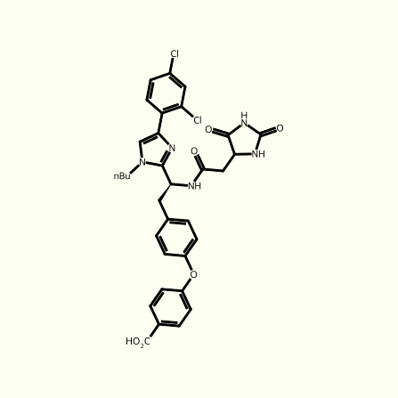 CCCCn1cc(-c2ccc(Cl)cc2Cl)nc1[C@H](Cc1ccc(Oc2ccc(C(=O)O)cc2)cc1)NC(=O)CC1NC(=O)NC1=O